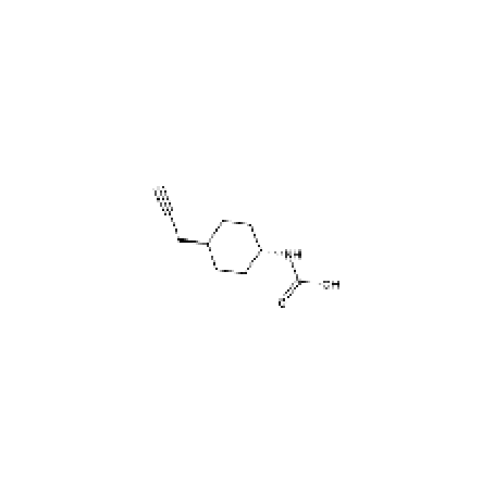 C#CC[C@H]1CC[C@H](NC(=O)O)CC1